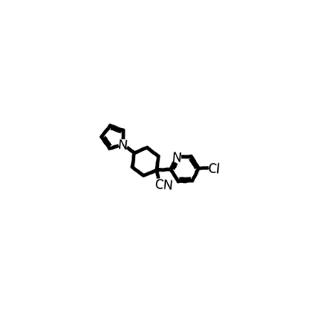 N#CC1(c2ccc(Cl)cn2)CCC(n2cccc2)CC1